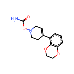 NC(=O)ON1CC=C(c2cccc3c2OCCO3)CC1